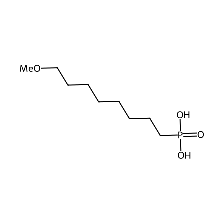 COCCCCCCCCP(=O)(O)O